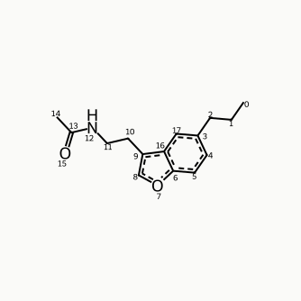 CCCc1ccc2occ(CCNC(C)=O)c2c1